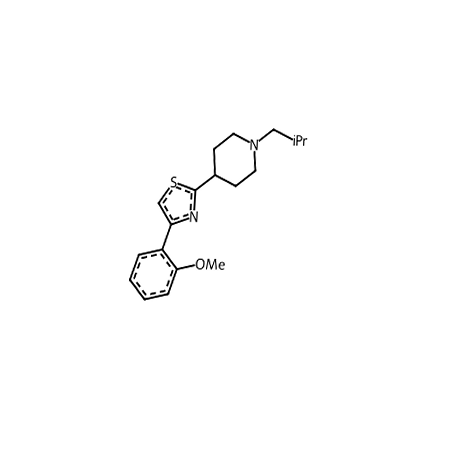 COc1ccccc1-c1csc(C2CCN(CC(C)C)CC2)n1